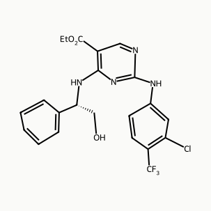 CCOC(=O)c1cnc(Nc2ccc(C(F)(F)F)c(Cl)c2)nc1N[C@H](CO)c1ccccc1